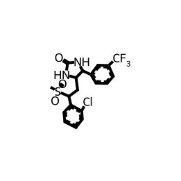 CS(=O)(=O)C(CC1NC(=O)NC1c1cccc(C(F)(F)F)c1)c1ccccc1Cl